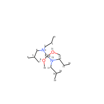 CCCN(CC(C)C)[Si](OC)(OC)N(CCC)CC(C)C